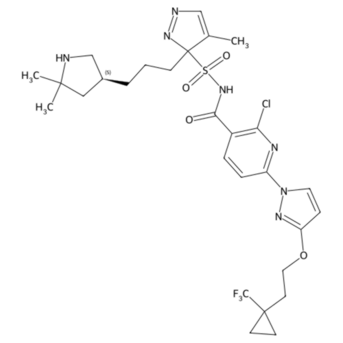 CC1=CN=NC1(CCC[C@@H]1CNC(C)(C)C1)S(=O)(=O)NC(=O)c1ccc(-n2ccc(OCCC3(C(F)(F)F)CC3)n2)nc1Cl